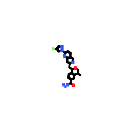 CC1COC(Cc2cc3nc(-n4cc(F)cn4)ccc3cn2)c2ccc(C(N)=O)cc21